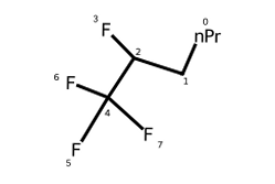 CCCCC(F)C(F)(F)F